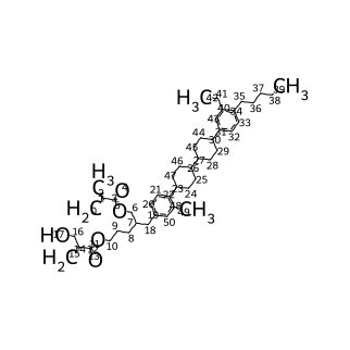 C=C(C)C(=O)OCC(CCCOC(=O)C(=C)CO)Cc1ccc(C2CCC(C3CCC(c4ccc(CCCCC)c(CC)c4)CC3)CC2)c(C)c1